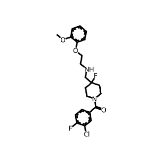 COc1ccccc1OCCNCC1(F)CCN(C(=O)c2ccc(F)c(Cl)c2)CC1